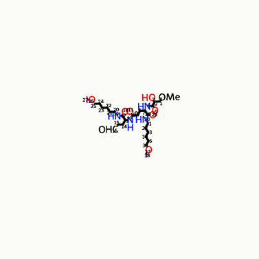 COCC(O)C(=O)NC(CCC(=O)NC(CCC=O)C(=O)NCCCCCCOI)C(=O)NCCCCCCOI